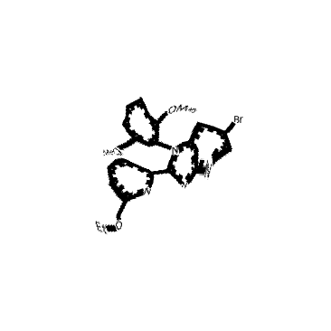 CCOc1cccc(-c2nc3ncc(Br)cc3n2-c2c(OC)cccc2OC)n1